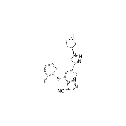 N#Cc1cnn2cc(-c3cn([C@H]4CCNC4)nn3)cc(Sc3ncccc3F)c12